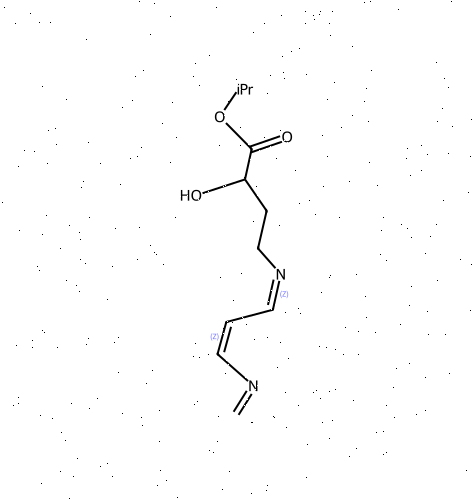 C=N/C=C\C=N/CCC(O)C(=O)OC(C)C